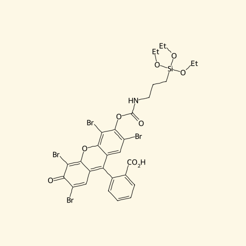 CCO[Si](CCCNC(=O)Oc1c(Br)cc2c(-c3ccccc3C(=O)O)c3cc(Br)c(=O)c(Br)c-3oc2c1Br)(OCC)OCC